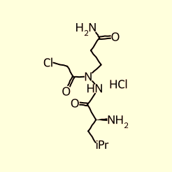 CC(C)C[C@H](N)C(=O)NN(CCC(N)=O)C(=O)CCl.Cl